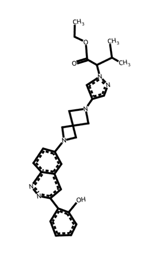 CCOC(=O)C(C(C)C)n1cc(N2CC3(CN(c4ccc5nnc(-c6ccccc6O)cc5c4)C3)C2)cn1